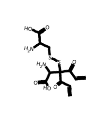 C=CC(=O)C(SSCC(N)C(=O)O)(C(=O)C=C)C(N)C(=O)O